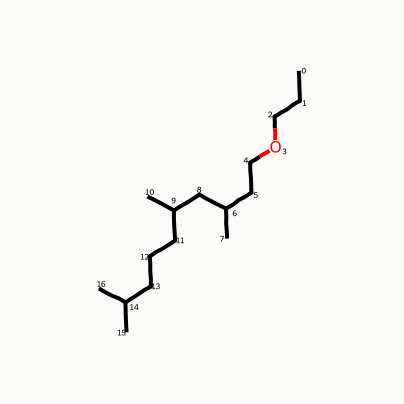 CCCOCCC(C)CC(C)CCCC(C)C